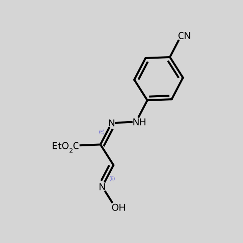 CCOC(=O)C(/C=N/O)=N/Nc1ccc(C#N)cc1